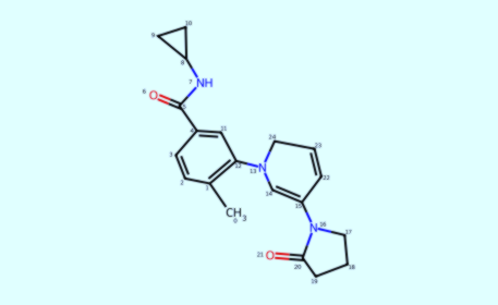 Cc1ccc(C(=O)NC2CC2)cc1N1C=C(N2CCCC2=O)C=CC1